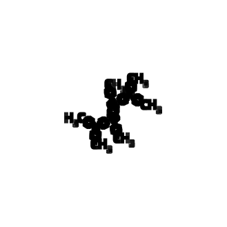 Cc1ccc(-c2cc3cc4c(cc(-c5ccc(C)cc5)n4-c4ccc(N(c5ccc(C)cc5)c5ccc(C)cc5)cc4)cc3n2-c2ccc(N(c3ccc(C)cc3)c3ccc(C)cc3)cc2)cc1